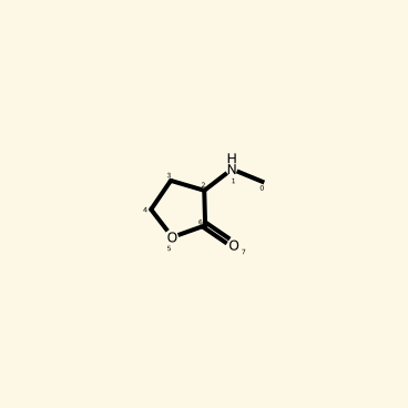 CNC1CCOC1=O